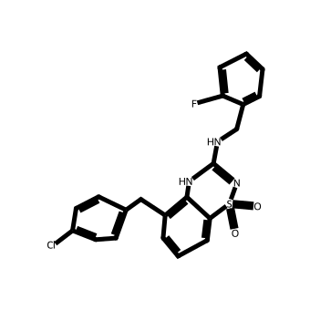 O=S1(=O)N=C(NCc2ccccc2F)Nc2c(Cc3ccc(Cl)cc3)cccc21